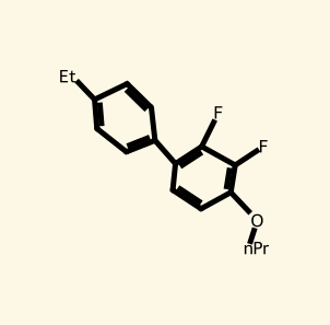 CCCOc1ccc(-c2ccc(CC)cc2)c(F)c1F